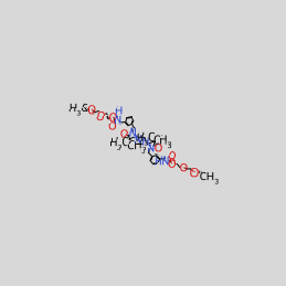 CCOCCOCCOC(=O)NCc1cccc(CN2C(=O)C(C)(C)C2N2CCN(C3N(Cc4cccc(CNC(=O)OCCOCCOCC)c4)C(=O)C3(C)C)CC2)c1